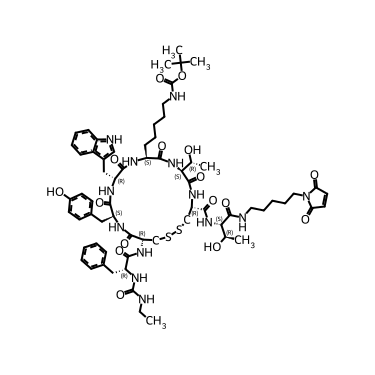 CCNC(=O)N[C@H](Cc1ccccc1)C(=O)N[C@H]1CSSC[C@@H](C(=O)N[C@H](C(=O)NCCCCCN2C(=O)C=CC2=O)[C@@H](C)O)NC(=O)[C@H]([C@@H](C)O)NC(=O)[C@H](CCCCCNC(=O)OC(C)(C)C)NC(=O)[C@@H](Cc2c[nH]c3ccccc23)NC(=O)[C@H](Cc2ccc(O)cc2)NC1=O